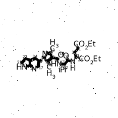 CCOC(=O)CC[C@@H](NC(=O)[C@@H](NC(=O)c1c(C)nn(-c2cnc3[nH]ccc3c2)c1C)C(C)C)C(=O)OCC